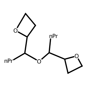 CCCC(OC(CCC)C1CCO1)C1CCO1